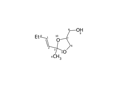 CCC=CC1(C)OCC(CO)O1